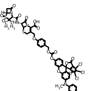 CN(c1ccccc1)c1ccc2c(c1)Oc1cc(OC(=O)OCc3ccc(OCC4=C(C(=O)O)N5C(=O)[C@@H](NC(=O)[C@@H]6N7C(=O)C[C@H]7S(=O)(=O)C6(C)C)C5SC4)cc3)ccc1C21OC(=O)c2c(Cl)c(Cl)c(Cl)c(Cl)c21